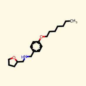 CCCCCCCOc1ccc(CNCC2CCCO2)cc1